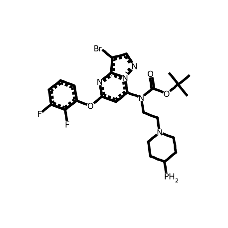 CC(C)(C)OC(=O)N(CCN1CCC(P)CC1)c1cc(Oc2cccc(F)c2F)nc2c(Br)cnn12